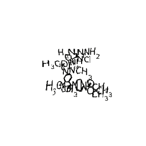 CC[n+]1c(CNC(=O)c2nc(Cl)c(N)nc2N)n(C[C@H](C)O)c2cc(N(C)C)c(C(=O)N3CCN(C(=O)OC(C)(C)C)CC3)cc21